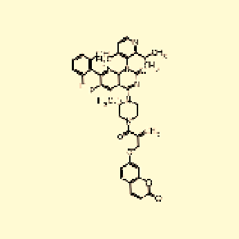 C=C(COc1ccc2ccc(=O)oc2c1)C(=O)N1CCN(c2nc(=O)n(-c3c(C)ccnc3C(C)C)c3nc(-c4c(O)cccc4F)c(F)cc23)[C@@H](C)C1